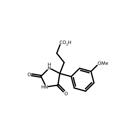 COc1cccc(C2(CCC(=O)O)NC(=O)NC2=O)c1